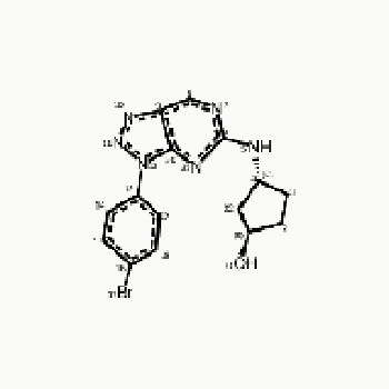 O[C@@H]1CC[C@@H](Nc2ncc3nnn(-c4ccc(Br)cc4)c3n2)C1